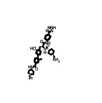 Cc1cc(C(=O)NC2CCN(C(C)C)CC2)ccc1-c1ccc(C[C@H](NC(=O)[C@H]2CC[C@H](CN)CC2)C(=O)Nc2ccc(-c3nn[nH]n3)cc2)cc1.Cl